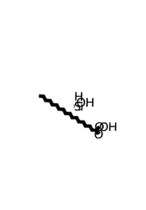 CCCCCCCCCCCCCCCCCC(=O)OO.C[SiH](C)O